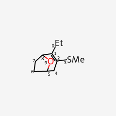 CCC1=C(SC)CC2CCC1O2